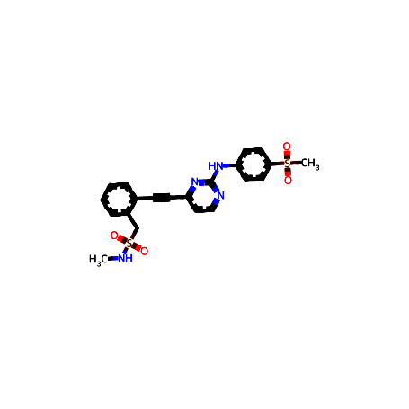 CNS(=O)(=O)Cc1ccccc1C#Cc1ccnc(Nc2ccc(S(C)(=O)=O)cc2)n1